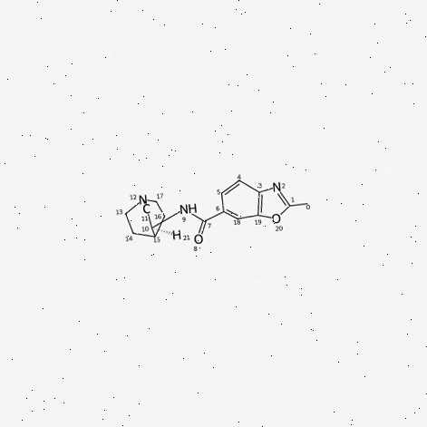 Cc1nc2ccc(C(=O)N[C@@H]3CN4CCC3CC4)cc2o1